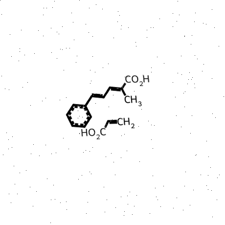 C=CC(=O)O.CC(=CC=Cc1ccccc1)C(=O)O